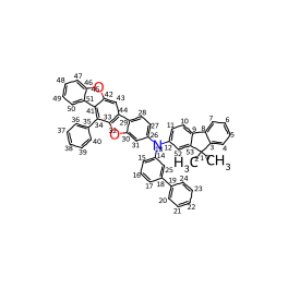 CC1(C)c2ccccc2-c2ccc(N(c3cccc(-c4ccccc4)c3)c3ccc4c(c3)oc3c(-c5ccccc5)c5c(cc34)oc3ccccc35)cc21